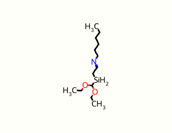 CCCCCCN=CC[SiH2]C(OCC)OCC